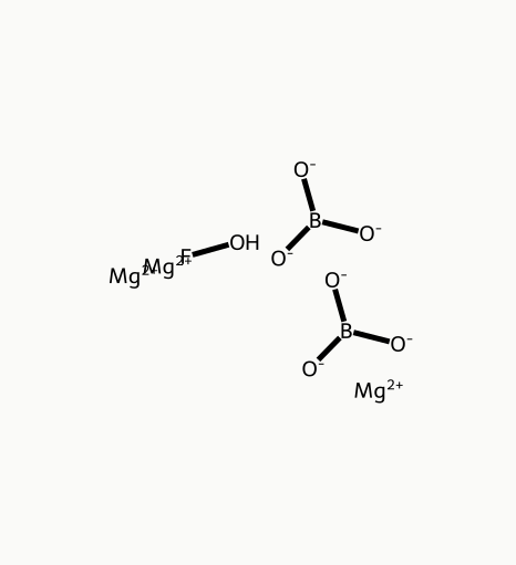 OF.[Mg+2].[Mg+2].[Mg+2].[O-]B([O-])[O-].[O-]B([O-])[O-]